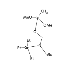 CCCCN(CO[Si](C)(OC)OC)[Si](CC)(CC)CC